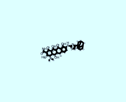 C[C@H]1c2ccc(Nc3nc(C45CC6CC(CC(C6)C4)C5)cs3)c(O)c2C(=O)C2=C(O)C3C(=O)C(C(N)=O)=C(O)[C@@H](N(C)C)C3[C@@H](O)C21